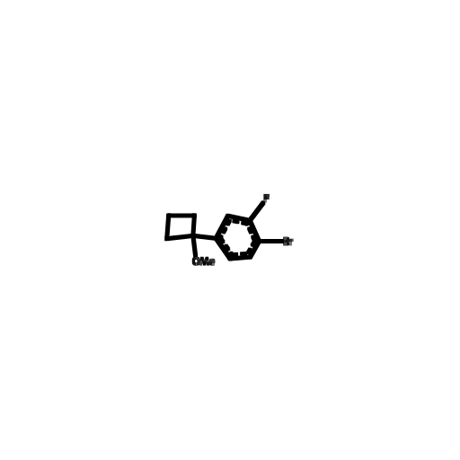 COC1(c2ccc(Br)c(F)c2)CCC1